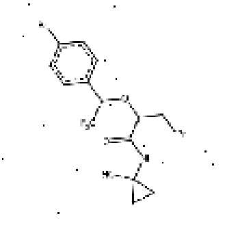 CC(C)CC(OC(c1ccc(Br)cc1)C(F)(F)F)C(=O)NC1(C#N)CC1